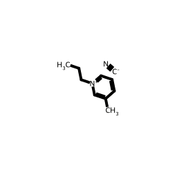 CCC[n+]1cccc(C)c1.[C-]#N